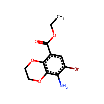 CCOC(=O)c1cc(Br)c(N)c2c1OCCO2